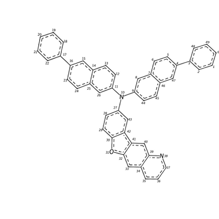 c1ccc(-c2ccc3cc(N(c4ccc5cc(-c6ccccc6)ccc5c4)c4ccc5oc6cc7cccnc7cc6c5c4)ccc3c2)cc1